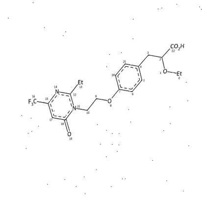 CCOC(Cc1ccc(OCCn2c(CC)nc(C(F)(F)F)cc2=O)cc1)C(=O)O